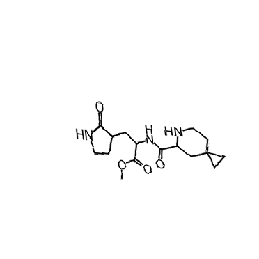 COC(=O)C(CC1CCNC1=O)NC(=O)C1CC2(CCN1)CC2